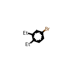 CCc1[c]c(Br)ccc1CC